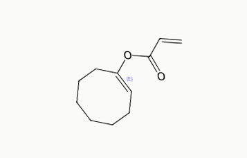 C=CC(=O)O/C1=C/CCCCCC1